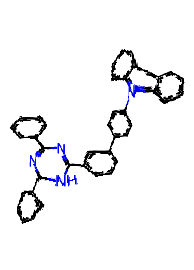 c1ccc(C2=NC(c3ccccc3)NC(c3cccc(-c4ccc(-n5c6ccccc6c6ccccc65)cc4)c3)=N2)cc1